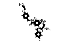 C#CCOc1ccc(CNC(=O)c2cc3c(cc2F)S(=O)(=O)C[C@H](N)C(=O)N3Cc2ccc(Cl)cc2)cc1